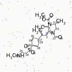 C=C(/C=C1\C(=C)N(C(=O)OC)C(C)CN1C=O)c1ccc(S(=O)(=O)CCNC)cc1